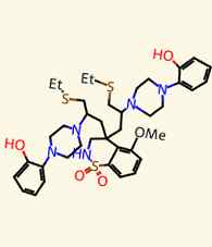 CCSCC(CC1(CC(CSCC)N2CCN(c3ccccc3O)CC2)CNS(=O)(=O)c2cccc(OC)c21)N1CCN(c2ccccc2O)CC1